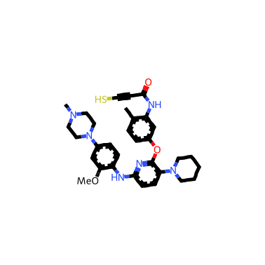 COc1cc(N2CCN(C)CC2)ccc1Nc1ccc(N2CCCCC2)c(Oc2ccc(C)c(NC(=O)C#CS)c2)n1